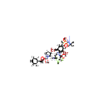 CC(C)(C)NS(=O)(=O)Cc1cc(Br)c(N(C/C=C\[C@H]2CCCN2C(=O)OCc2ccccc2)C(=O)C(F)(F)F)c(Br)c1